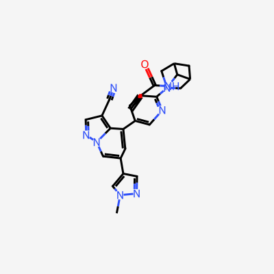 C#CC(=O)NC1C2CC1CN(c1ccc(-c3cc(-c4cnn(C)c4)cn4ncc(C#N)c34)cn1)C2